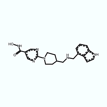 O=C(NO)c1cnc(N2CCC(CNCc3cccc4[nH]ccc34)CC2)nc1